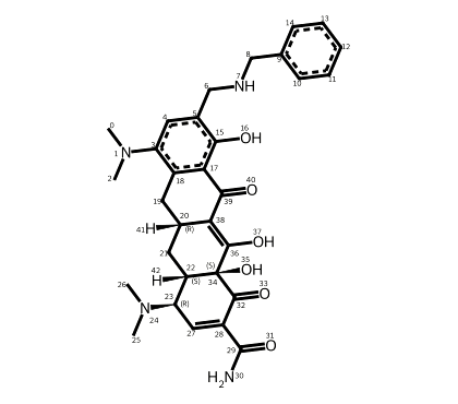 CN(C)c1cc(CNCc2ccccc2)c(O)c2c1C[C@H]1C[C@H]3[C@H](N(C)C)C=C(C(N)=O)C(=O)[C@@]3(O)C(O)=C1C2=O